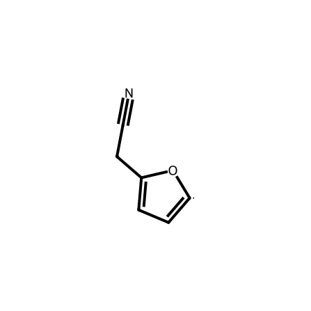 N#CCc1cc[c]o1